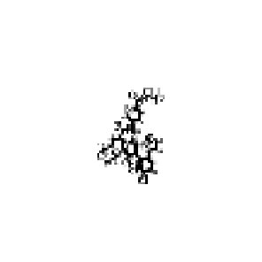 CNC(=O)c1ccc(NC(=O)C(CC2COCCO2)n2cc(OC)c(-c3cc(Cl)ccc3C3=NOCC3)cc2=O)cn1